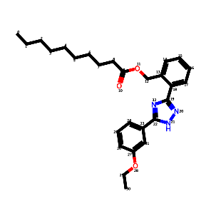 CCCCCCCCCC(=O)OCc1ccccc1-c1n[nH]c(-c2cccc(OCC)c2)n1